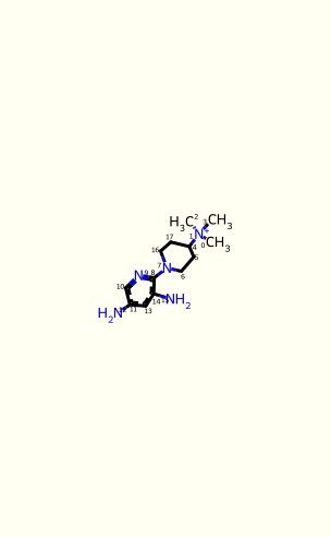 C[N+](C)(C)C1CCN(c2ncc(N)cc2N)CC1